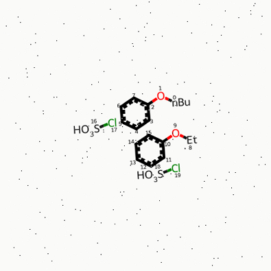 CCCCOc1ccccc1.CCOc1ccccc1.O=S(=O)(O)Cl.O=S(=O)(O)Cl